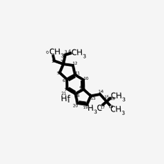 CCC1(CC)Cc2cc3c(cc2C1)[C](CC(C)(C)C)C=C3.[Hf]